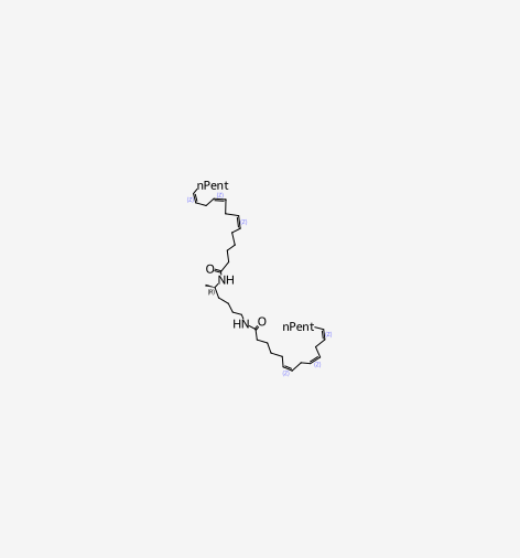 CCCCC/C=C\C/C=C\C/C=C\CCCCC(=O)NCCCC[C@@H](C)NC(=O)CCCC/C=C\C/C=C\C/C=C\CCCCC